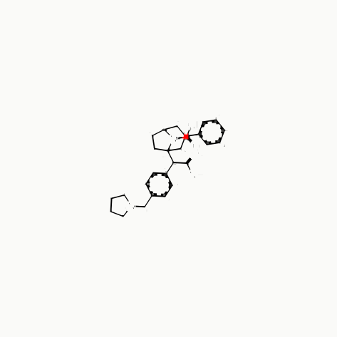 NC(=O)C(c1ccc(CN2CCCC2)cc1)C12CCC(CC(c3ccccc3)C1)N2C(=O)O